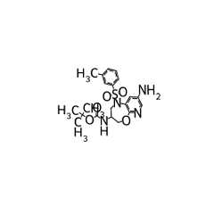 Cc1cccc(S(=O)(=O)N2CC(NC(=O)OC(C)(C)C)COc3ncc(N)cc32)c1